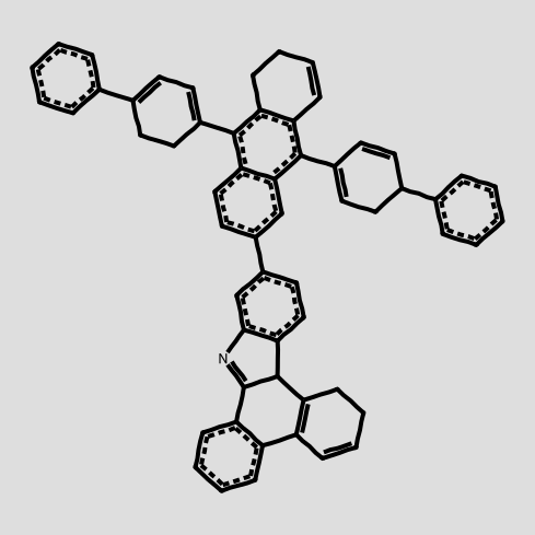 C1=CC2=C(CC1)C1C(=Nc3cc(-c4ccc5c(C6=CC=C(c7ccccc7)CC6)c6c(c(C7=CCC(c8ccccc8)C=C7)c5c4)C=CCC6)ccc31)c1ccccc12